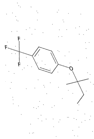 CCC(C)(C)Oc1ccc(C(F)(F)F)cc1